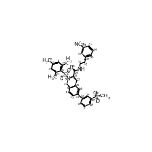 Cc1cc(C)c(S(=O)(=O)N2Cc3ccc(-c4cccc(S(C)(=O)=O)c4)cc3CC2C(=O)NCCc2cccc(C#N)c2)c(C)c1